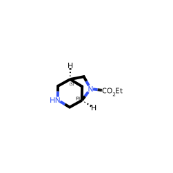 CCOC(=O)N1C[C@@H]2CNC[C@H]1C2